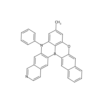 Cc1cc2c3c(c1)N(c1ccccc1)c1cc4cnccc4cc1B3c1cc3ccccc3cc1O2